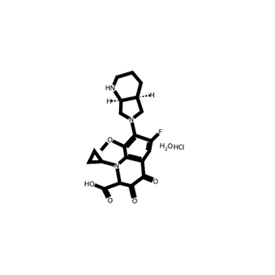 COc1c(N2C[C@@H]3CCCN[C@@H]3C2)c(F)cc2c1N(C1CC1)C(C(=O)O)C(=O)C2=O.Cl.O